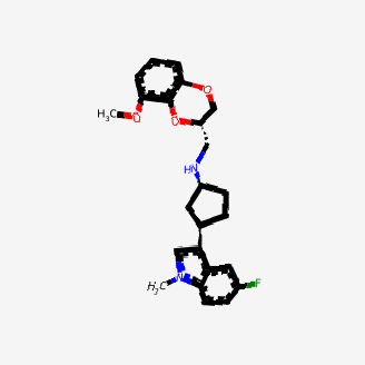 COc1cccc2c1O[C@@H](CN[C@H]1CC[C@@H](c3cn(C)c4ccc(F)cc34)C1)CO2